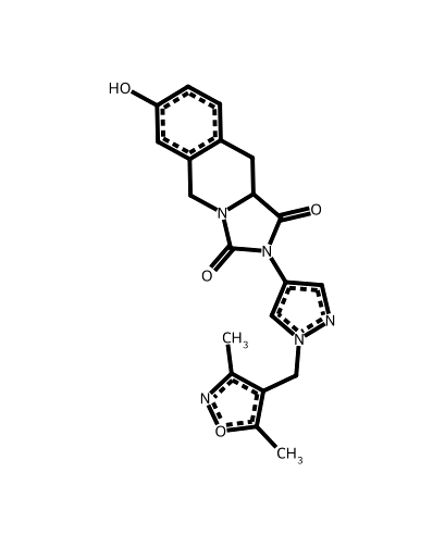 Cc1noc(C)c1Cn1cc(N2C(=O)C3Cc4ccc(O)cc4CN3C2=O)cn1